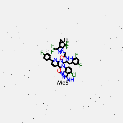 CSNc1nn(C)c2c(-n3c(C(Cc4cc(F)cc(F)c4)NC(=O)Cn4nc(C(F)F)c5c4C(F)(F)[C@@H]4CC54)nc4nc(-c5ccc(F)cc5)ccc4c3=O)ccc(Cl)c12